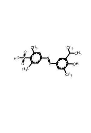 Cc1cc(N=Nc2cc(C)c(S(=O)(=O)O)c(C)c2)cc(C(C)C)c1O